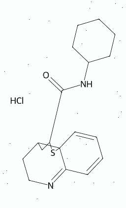 Cl.O=C(NC1CCCCC1)C1CC2CCN=C3C=CC=CC32S1